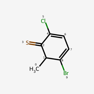 CC1C(=S)C(Cl)=CC=C1Br